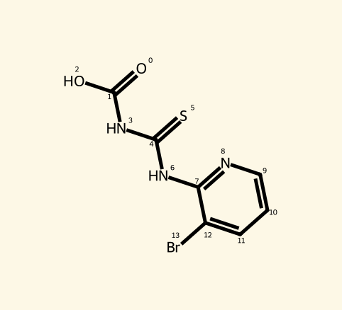 O=C(O)NC(=S)Nc1ncccc1Br